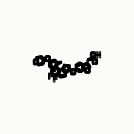 Cc1cc(OC2CCOCC2)cc(C)c1-c1c(C(F)(F)F)ccc2c1CC[C@H]2Oc1ccc2c(c1)OC[C@H]2CC(=O)O